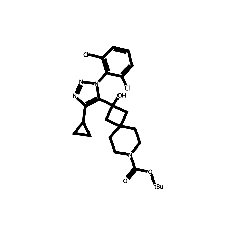 CC(C)(C)OC(=O)N1CCC2(CC1)CC(O)(c1c(C3CC3)nnn1-c1c(Cl)cccc1Cl)C2